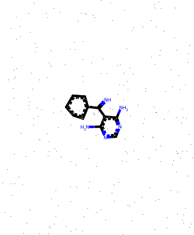 N=C(c1ccccc1)c1c(N)ncnc1N